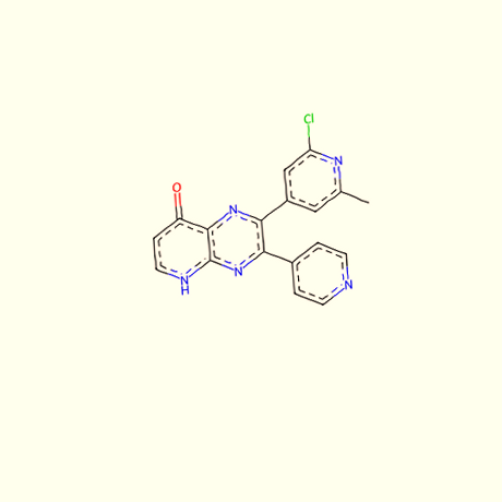 Cc1cc(-c2nc3c(=O)cc[nH]c3nc2-c2ccncc2)cc(Cl)n1